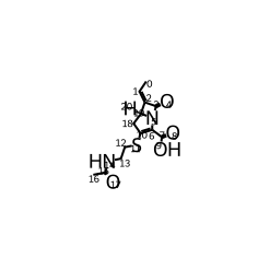 C/C=C1\C(=O)N2C(C(=O)O)=C(SCCNC(C)=O)C[C@H]12